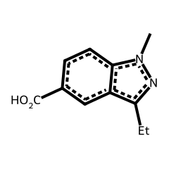 CCc1nn(C)c2ccc(C(=O)O)cc12